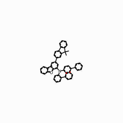 CC1(C)c2ccccc2-c2ccc(-c3cc(N(c4ccc(-c5ccccc5)cc4)c4ccccc4-c4ccccc4)c4oc5ccccc5c4c3)cc21